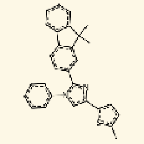 Cc1ccc(-c2cn(-c3ccccc3)c(-c3ccc4c(c3)C(C)(C)c3ccccc3-4)n2)s1